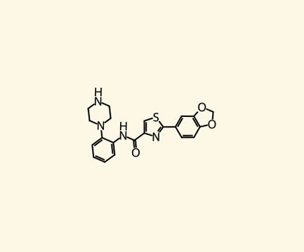 O=C(Nc1ccccc1N1CCNCC1)c1csc(-c2ccc3c(c2)OCO3)n1